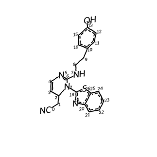 N#CCC1C=CN=C(NCCc2ccc(O)cc2)N1c1nc2ccccc2s1